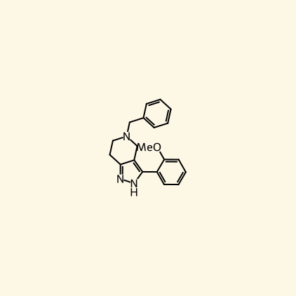 COc1ccccc1-c1[nH]nc2c1CN(Cc1ccccc1)CC2